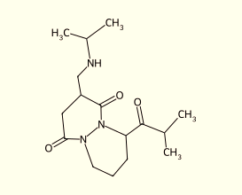 CC(C)NCC1CC(=O)N2CCCC(C(=O)C(C)C)N2C1=O